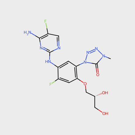 Cn1nnn(-c2cc(Nc3ncc(F)c(N)n3)c(F)cc2OC[C@H](O)CO)c1=O